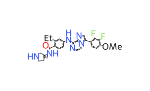 CCc1cc(Nc2nccn3c(-c4ccc(OC)c(F)c4F)cnc23)ccc1C(=O)N[C@H]1CCNC1